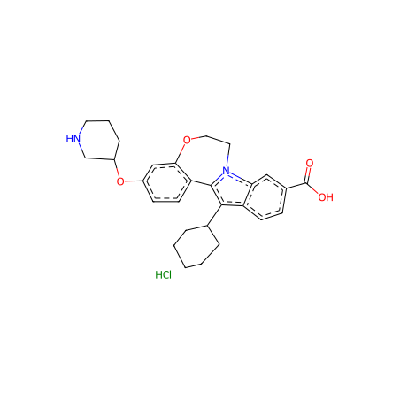 Cl.O=C(O)c1ccc2c(C3CCCCC3)c3n(c2c1)CCOc1cc(OC2CCCNC2)ccc1-3